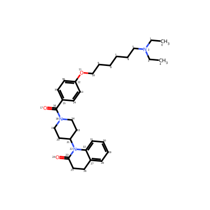 CCN(CC)CCCCCCOc1ccc(C(=O)N2CCC(N3C(=O)CCc4ccccc43)CC2)cc1